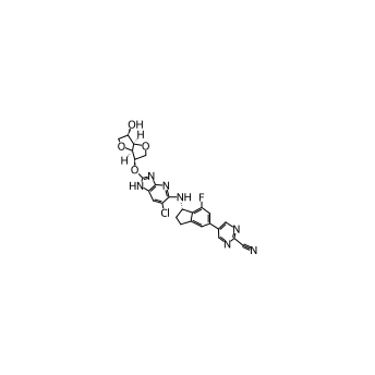 N#Cc1ncc(-c2cc(F)c3c(c2)CC[C@@H]3Nc2nc3nc(O[C@@H]4CO[C@H]5[C@@H]4OC[C@H]5O)[nH]c3cc2Cl)cn1